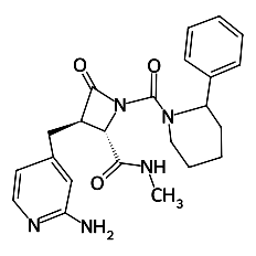 CNC(=O)[C@@H]1[C@@H](Cc2ccnc(N)c2)C(=O)N1C(=O)N1CCCCC1c1ccccc1